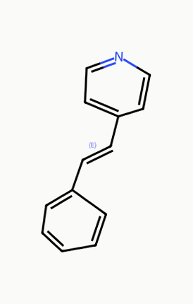 C(=C\c1ccncc1)/c1ccccc1